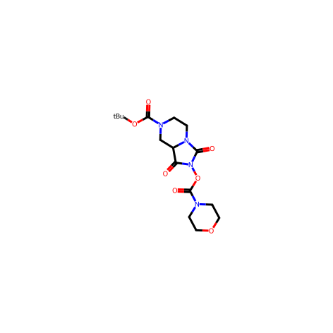 CC(C)(C)OC(=O)N1CCN2C(=O)N(OC(=O)N3CCOCC3)C(=O)C2C1